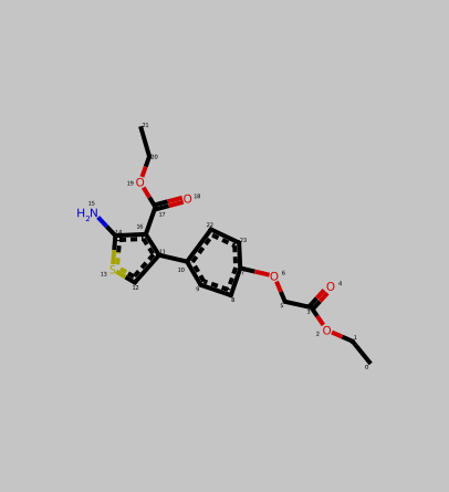 CCOC(=O)COc1ccc(-c2csc(N)c2C(=O)OCC)cc1